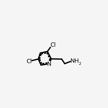 NCCc1ncc(Cl)cc1Cl